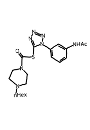 CCCCCCN1CCN(C(=O)Sc2nnnn2-c2cccc(NC(C)=O)c2)CC1